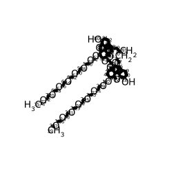 C=CCN1CCC23c4c5ccc(O)c4OC2C(OCOCCOCCOCCOCCOCCOCCOCC)CCC3(OC(=O)C(=O)OC23CCC(OCOCCOCCOCCOCCOCCOCCOCC)C4Oc6c(O)ccc7c6C42CCN(CC=C)C3C7)C1C5